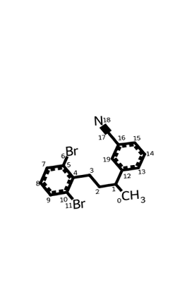 CC(CCc1c(Br)cccc1Br)c1cccc(C#N)c1